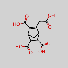 O=C(O)CC1=C(C(=O)O)C2CC1C(C(=O)O)C2C(=O)O